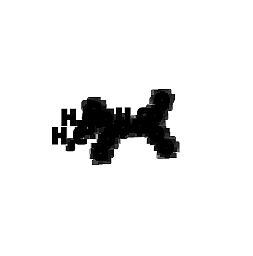 CC1C=CC(N2c3cc(N(c4ccc(-c5ccccc5)cc4)c4ccc(-c5ccc(N(C6=CC=C(c7ccccc7)CC6C)c6ccc(-c7ccccc7)cc6)cc5)cc4)ccc3C3C=CC=CC32C)=CC1